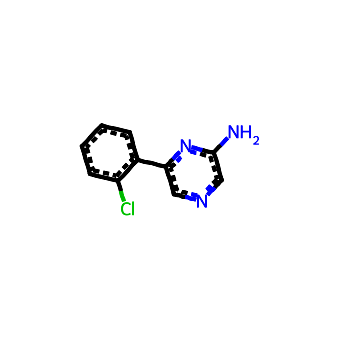 Nc1cncc(-c2ccccc2Cl)n1